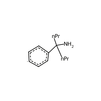 CCCC(N)(CCC)c1cc[c]cc1